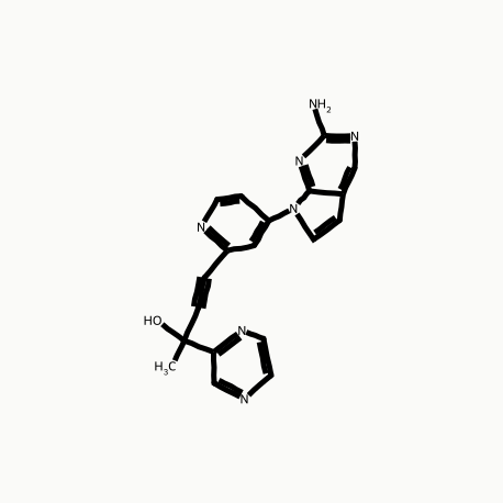 CC(O)(C#Cc1cc(-n2ccc3cnc(N)nc32)ccn1)c1cnccn1